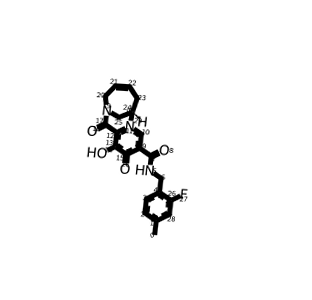 Cc1ccc(CNC(=O)c2cn3c(c(O)c2=O)C(=O)N2CC=CC[C@@H]3C2)c(F)c1